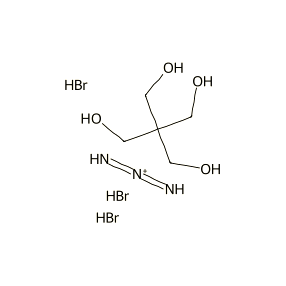 Br.Br.Br.N=[N+]=N.OCC(CO)(CO)CO